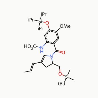 CC=CC1=CN(C(=O)c2cc(OC)c(O[Si](C(C)C)(C(C)C)C(C)C)cc2NC(=O)O)C(CO[Si](C)(C)C(C)(C)C)C1